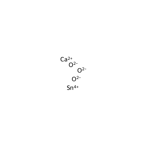 [Ca+2].[O-2].[O-2].[O-2].[Sn+4]